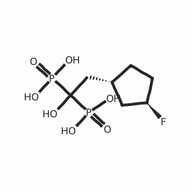 O=P(O)(O)C(O)(C[C@@H]1CC[C@@H](F)C1)P(=O)(O)O